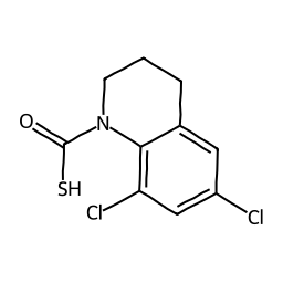 O=C(S)N1CCCc2cc(Cl)cc(Cl)c21